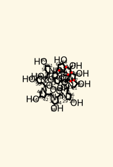 O=C(O)C1CC(O)CN1C(=O)C1CC(O)CN1C(=O)C1CC(O)CN1C(=O)C1CC(O)CN1C(=O)C1CC(O)CN1C(=O)C1CC(O)CN1C(=O)C1CC(O)CN1C(=O)C1CC(O)CN1C(=O)C1CC(O)CN1C(=O)C1CC(O)CN1